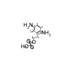 Nc1ccc(N)c(CCOS(=O)(=O)O)c1